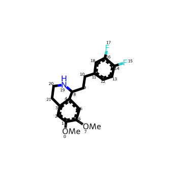 COc1cc2c(cc1OC)C(CCc1ccc(F)c(F)c1)NCC2